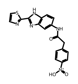 O=C(Cc1ccc([N+](=O)O)cc1)Nc1ccc2c(c1)[N+]=C(c1nccs1)N2